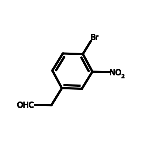 O=CCc1ccc(Br)c([N+](=O)[O-])c1